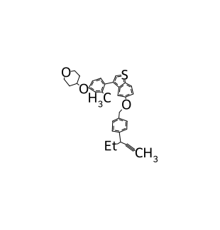 CC#CC(CC)c1ccc(COc2ccc3scc(-c4ccc(OC5CCOCC5)cc4C)c3c2)cc1